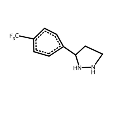 FC(F)(F)c1ccc(C2CCNN2)cc1